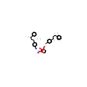 CCCC(CC(CC)c1ccccc1)c1ccc(COCC23C=CC(O2)C2=C3C(=O)N(Cc3ccc(C(CCC)CC(CC)c4ccccc4)cc3)C2=O)cc1